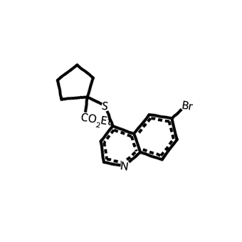 CCOC(=O)C1(Sc2ccnc3ccc(Br)cc23)CCCC1